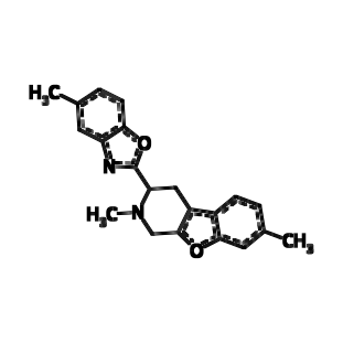 Cc1ccc2oc(C3Cc4c(oc5cc(C)ccc45)CN3C)nc2c1